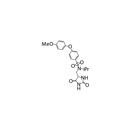 COc1ccc(Oc2ccc(S(=O)(=O)N(CC3NC(=O)NC3=O)C(C)C)cc2)cc1